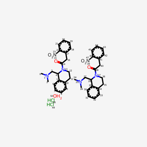 CN(C)CC1c2ccccc2CCN1C(=O)Cc1ccccc1[N+](=O)[O-].CN(C)CC1c2ccccc2CCN1C(=O)Cc1ccccc1[N+](=O)[O-].Cl.Cl.O